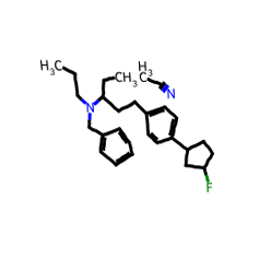 CC#N.CCCN(Cc1ccccc1)C(CC)CCc1ccc(C2CCC(F)C2)cc1